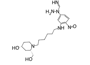 N=CN(N)c1ccc(N=O)c(NCCCCCCN2CC[C@@H](O)C[C@H]2CO)c1